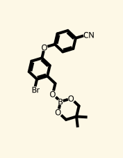 CC1(C)COB(OCc2cc(Oc3ccc(C#N)cc3)ccc2Br)OC1